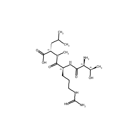 CC(C)C[C@@H](C(=O)O)N(C)C(=O)[C@H](CCCNC(=N)N)NC(=O)[C@@H](N)[C@@H](C)O